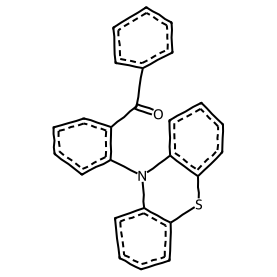 O=C(c1ccccc1)c1ccccc1N1c2ccccc2Sc2ccccc21